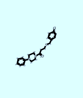 O=C(CCSCc1ccc(Cl)cc1)N1CCN(c2ccccc2)CC1